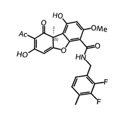 COc1cc(O)c2c(c1C(=O)NCc1ccc(C)c(F)c1F)OC1=CC(O)=C(C(C)=O)C(=O)[C@]12C